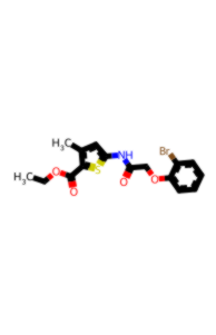 CCOC(=O)c1sc(NC(=O)COc2ccccc2Br)cc1C